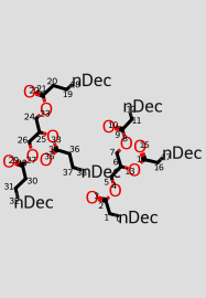 CCCCCCCCCCCC(=O)OCC(COC(=O)CCCCCCCCCCC)OC(=O)CCCCCCCCCCC.CCCCCCCCCCCCC(=O)OCC(COC(=O)CCCCCCCCCCCC)OC(=O)CCCCCCCCCCCC